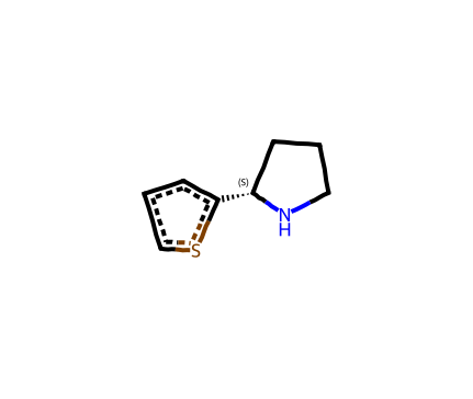 c1csc([C@@H]2CCCN2)c1